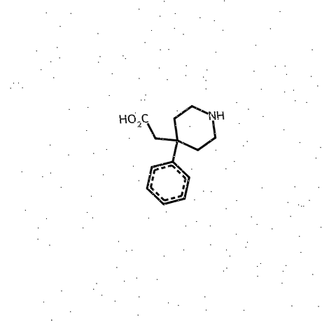 O=C(O)CC1(c2ccccc2)CCNCC1